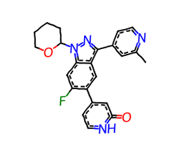 Cc1cc(-c2nn(C3CCCCO3)c3cc(F)c(-c4cc[nH]c(=O)c4)cc23)ccn1